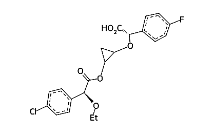 CCO[C@H](C(=O)OC1CC1O[C@H](C(=O)O)c1ccc(F)cc1)c1ccc(Cl)cc1